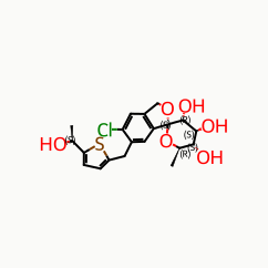 C[C@H](O)c1ccc(Cc2cc3c(cc2Cl)CO[C@]32O[C@H](C)[C@@H](O)[C@H](O)[C@H]2O)s1